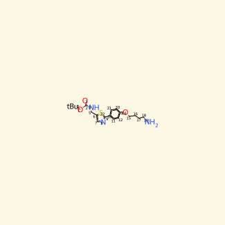 CC(C)(C)OC(=O)NCc1cnc(-c2ccc(OCCCCN)cc2)s1